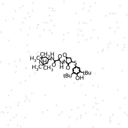 CC1(C)CC(NC(=O)C(=O)NN2C(=O)CC(Sc3cc(C(C)(C)C)c(O)c(C(C)(C)C)c3)C2=O)CC(C)(C)N1